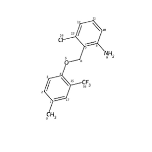 Cc1ccc(OCc2c(N)cccc2Cl)c(C(F)(F)F)c1